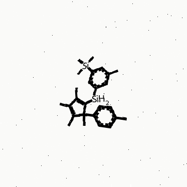 CC1=C(C)C(C)(c2ccc(C)cc2)C([SiH2]c2cc(C)cc([Si](C)(C)C)c2)=C1C